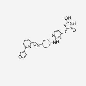 O=C1NC(O)S/C1=C\c1ccnc(N[C@H]2CC[C@H](NCc3cccc(-c4ccoc4)n3)CC2)n1